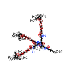 CCCCCCCCCCCCCCCC(=O)NCCC[C@H](NC(=O)[C@H](CCCCNC(=O)COCCOCCOCCO[C@H]1C[C@@H](C)[C@@H](OC(C)=O)[C@@H](COC(C)=O)O1)NC(=O)[C@H](CCCCNC(=O)COCCOCCOCCO[C@@H]1O[C@H](COC(C)=O)[C@H](OC(C)=O)[C@H](OC(C)=O)[C@H]1NC(C)=O)NC(=O)COCCOCCOCCO[C@H]1C[C@@H](OC(C)=O)[C@@H](OC(C)=O)[C@@H](COC(C)=O)O1)C(=O)O